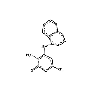 Cn1c(Nc2cccc3ccccc23)nc(C(F)(F)F)cc1=O